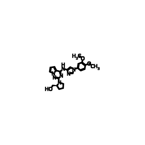 COc1ccc(-n2cnc(Nc3nc(N4CCC[C@H]4CO)nn4cccc34)c2)cc1OC